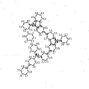 c1ccc(-c2ccc(N(c3ccc(-c4ccccc4)cc3)c3cccc(-c4ccc5c(c4)c4cc(-c6ccc7c(c6)c6ccccc6n7-c6ccccc6)ccc4n5-c4ccccc4)c3)cc2)cc1